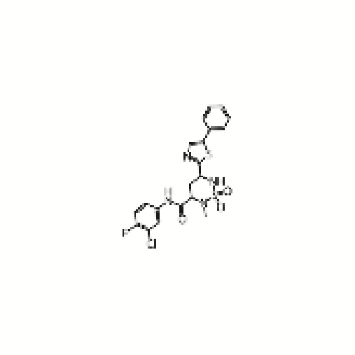 CN1C(C(=O)Nc2ccc(F)c(Cl)c2)CC(c2ncc(-c3ccccc3)s2)NS1(=O)=O